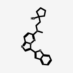 CN(CCC1(O)CCCC1)c1ccc2ncc(-c3cc4ccccc4o3)n2n1